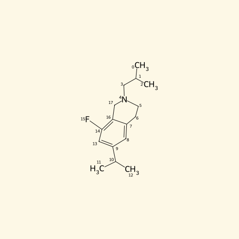 CC(C)CN1CCc2cc(C(C)C)cc(F)c2C1